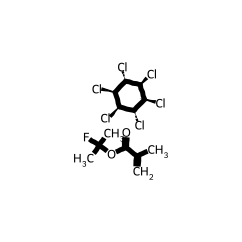 C=C(C)C(=O)OC(C)(C)F.Cl[C@H]1[C@H](Cl)[C@@H](Cl)[C@@H](Cl)[C@H](Cl)[C@H]1Cl